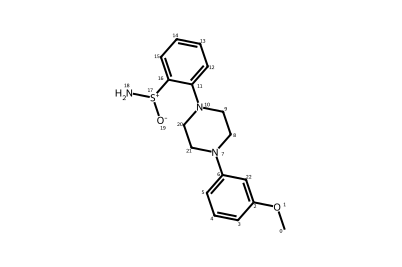 COc1cccc(N2CCN(c3ccccc3[S+](N)[O-])CC2)c1